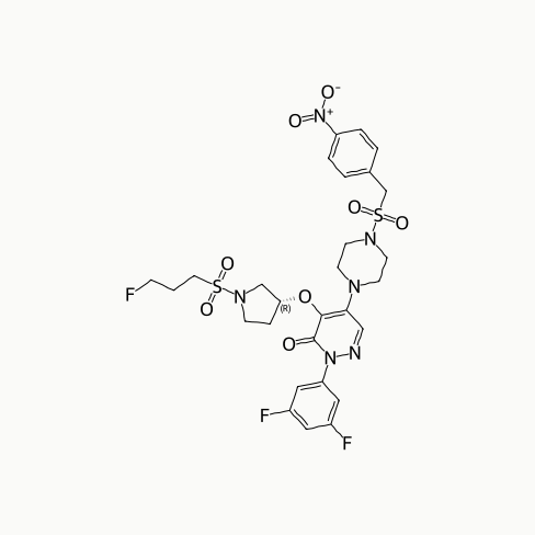 O=c1c(O[C@@H]2CCN(S(=O)(=O)CCCF)C2)c(N2CCN(S(=O)(=O)Cc3ccc([N+](=O)[O-])cc3)CC2)cnn1-c1cc(F)cc(F)c1